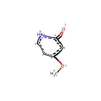 COc1cc[nH]c(=O)c1